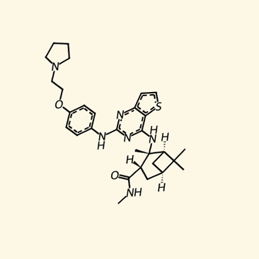 CNC(=O)[C@H]1C[C@H]2C[C@H](C2(C)C)[C@@]1(C)Nc1nc(Nc2ccc(OCCN3CCCC3)cc2)nc2ccsc12